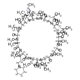 C/C=C/C[C@@H](C)[C@@H](O)[C@H]1C(=O)N[C@@H](CC)C(=O)N(C)[C@H](C)C(=O)N(C)[C@@H]([C@H](C)CCN2CCCCC2)C(=O)N[C@@H](C(C)C)C(=O)N(C)[C@@H](CC(C)C)C(=O)N[C@@H](C)C(=O)N[C@H](C)C(=O)N(C)[C@@H](CC(C)C)C(=O)N(C)[C@@H](CC(C)C)C(=O)N(C)[C@@H](C(C)C)C(=O)N1C